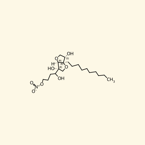 CCCCCCCCCC[C@]12OC[C@@](O)(C(O)CCCO[N+](=O)[O-])[C@H]1OC[C@@H]2O